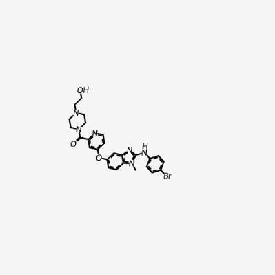 Cn1c(Nc2ccc(Br)cc2)nc2cc(Oc3ccnc(C(=O)N4CCN(CCO)CC4)c3)ccc21